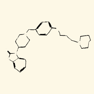 O=c1[nH]c2ccccc2n1C1CCN(Cc2ccc(OCCCN3CCCCC3)cc2)CC1